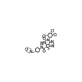 COc1cc(N2C(=O)Nc3c(C(=O)Nc4ccc(CN5CCOCC5)cc4)sc4ncnc2c34)c(Cl)cc1Cl